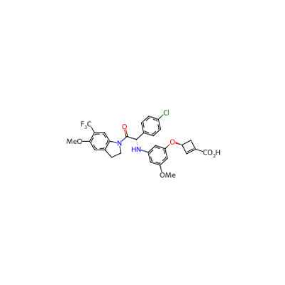 COc1cc(N[C@H](C(=O)N2CCc3cc(OC)c(C(F)(F)F)cc32)c2ccc(Cl)cc2)cc(O[C@@H]2C=C(C(=O)O)C2)c1